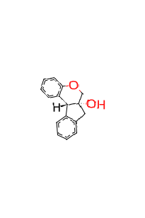 O[C@@]12COc3ccccc3[C@H]1c1ccccc1C2